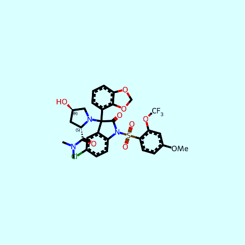 COc1ccc(S(=O)(=O)N2C(=O)C(c3cccc4c3OCO4)(N3C[C@H](O)C[C@H]3C(=O)N(C)C)c3cc(Cl)ccc32)c(OC(F)(F)F)c1